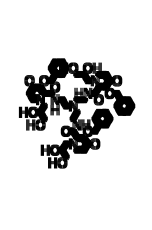 O=C(NCCN(CCNC(=O)c1c(OCc2ccccc2)c(=O)ccn1CC(O)CO)CCNC(=O)c1c(OCc2ccccc2)c(=O)ccn1CC(O)CO)c1c(OCc2ccccc2)c(=O)ccn1CC(O)CO